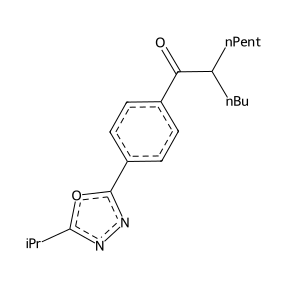 CCCCCC(CCCC)C(=O)c1ccc(-c2nnc(C(C)C)o2)cc1